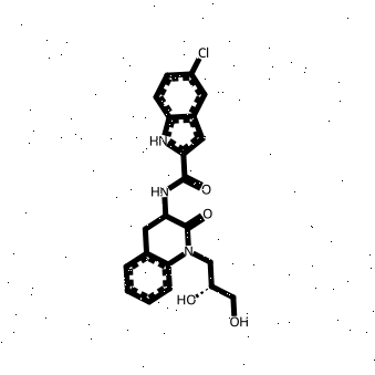 O=C(NC1Cc2ccccc2N(C[C@@H](O)CO)C1=O)c1cc2cc(Cl)ccc2[nH]1